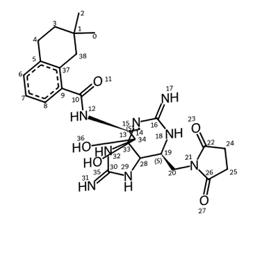 CC1(C)CCc2cccc(C(=O)N[C@H]3CN4C(=N)N[C@@H](CN5C(=O)CCC5=O)C5NC(=N)NC54C3(O)O)c2C1